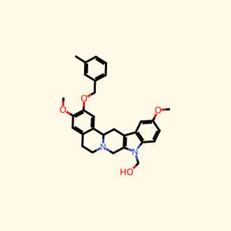 COc1ccc2c(c1)c1c(n2CO)CN2CCc3cc(OC)c(OCc4cccc(C)c4)cc3C2C1